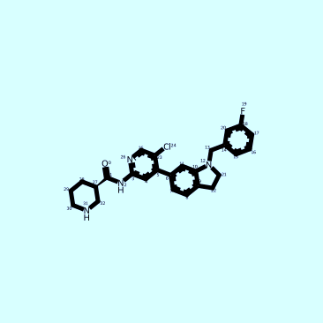 O=C(Nc1cc(-c2ccc3c(c2)N(Cc2cccc(F)c2)CC3)c(Cl)cn1)[C@@H]1CCCNC1